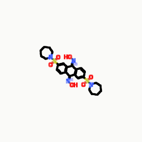 O=S(=O)(c1ccc2c(c1)/C(=N\O)c1ccc(S(=O)(=O)N3CCCCCC3)cc1/C2=N\O)N1CCCCCC1